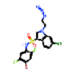 [N-]=[N+]=NCCn1cc(S(=O)(=O)Nc2cc(F)c(Br)cc2F)c2ccc(Cl)cc21